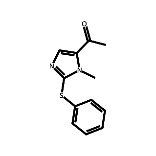 CC(=O)c1cnc(Sc2ccccc2)n1C